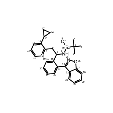 CC(C)(C)[S@+]([O-])NC(Cc1ncccc1C1CC1)c1ccccc1-c1noc2ccccc12